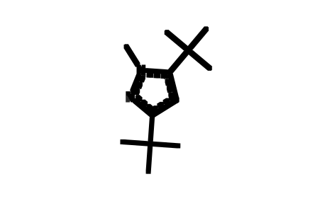 Cn1nc(C(C)(C)C)cc1C(C)(C)C